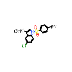 CC(C)c1ccc(S(=O)(=O)n2cc(C=O)c3cc(Cl)ccc32)cc1